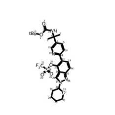 CC(C)(C)OC(=O)NC(C)(C)c1ccc(-c2ccc3nn(C4CCCCO4)cc3c2OS(=O)(=O)C(F)(F)F)nc1